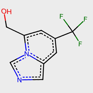 OCc1cc(C(F)(F)F)cc2cncn12